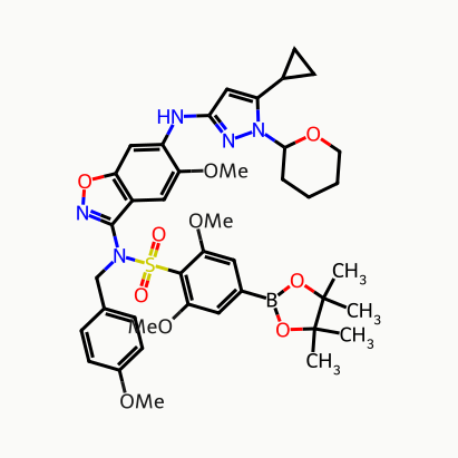 COc1ccc(CN(c2noc3cc(Nc4cc(C5CC5)n(C5CCCCO5)n4)c(OC)cc23)S(=O)(=O)c2c(OC)cc(B3OC(C)(C)C(C)(C)O3)cc2OC)cc1